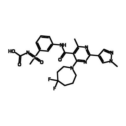 Cc1nc(-c2cnn(C)c2)nc(N2CCCC(F)(F)CC2)c1C(=O)Nc1cccc(S(C)(=O)=NC(=O)O)c1